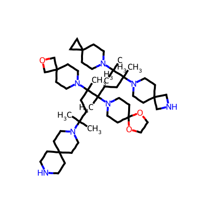 CC(C)(CCC(C)(N1CCC2(CC1)COC2)C(C)(CCC(C)(N1CCC2(CC1)CNC2)C(C)(C)N1CCC2(CC1)CC2)N1CCC2(CC1)OCCO2)N1CCC2(CCNCC2)CC1